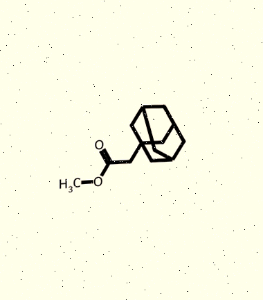 COC(=O)CC12CC3CC(CC(C3)C1)C2